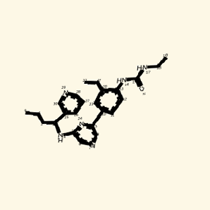 CCCC(Nc1cncc(-c2ccc(NC(=O)NCC)c(CC)c2)n1)c1cccnc1